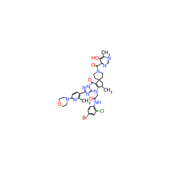 Cc1nc(N2CCOCC2)ccc1-c1nc2n(CC(=O)Nc3ccc(Br)cc3Cl)c3c(c(=O)n2n1)C1(CCN(C(=O)c2ncnc(C)c2O)CC1)CC3C